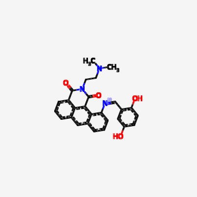 CN(C)CCN1C(=O)c2cccc3cc4cccc(/N=C\c5cc(O)ccc5O)c4c(c23)C1=O